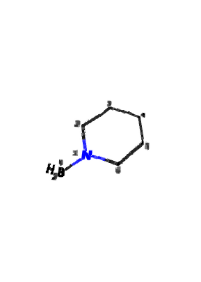 BN1CCCCC1